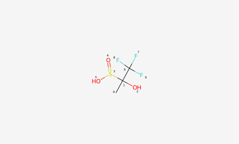 CC(O)(S(=O)O)C(F)(F)F